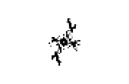 CCCCC(CC)COC(=O)Oc1c2c(c(OC(=O)OCC(CC)CCCC)c3c1SC(=C(C#N)C=O)S3)SC(=C(C)C#N)S2